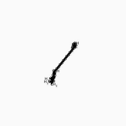 CCCN(OCC)C(=O)C1=Cc2ccc(S(=O)(=O)c3ccc(C(=O)NCCOCCOCCOCCOCCOCCOCCOCCOCCOCCOCCC(=O)Oc4c(F)c(F)c(S(=O)(=O)O)c(F)c4F)cc3)cc2N=C(N)C1